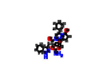 CC(Cc1n[nH]c2ccccc12)(OC(N)=O)C(=O)NCC(c1ccccc1)N1C(=O)CCC1=O